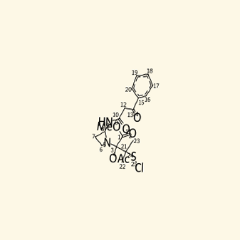 COC(=O)C(OC(C)=O)(N1CCC1NC(=O)CC(=O)c1ccccc1)C(C)(C)SCl